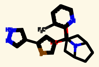 O=C(c1csc(-c2cn[nH]c2)c1)N1C2CCC1CC(O)(c1ncccc1C(F)(F)F)C2